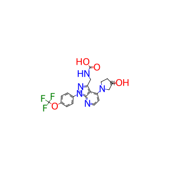 O=C(O)NCc1nn(-c2ccc(OC(F)(F)F)cc2)c2nccc(N3CC[C@@H](O)C3)c12